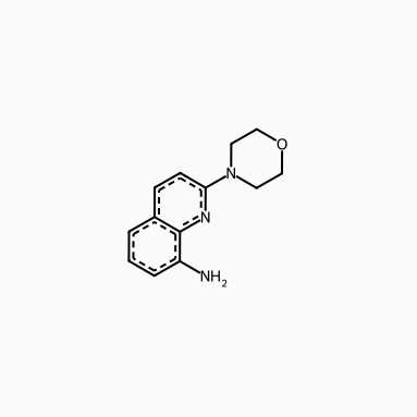 Nc1cccc2ccc(N3CCOCC3)nc12